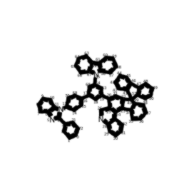 c1ccc(-c2nc3ccccc3n2-c2ccc(-c3cc(-c4cc5c(c6c4cnc4ccccc46)-c4ccccc4C54c5ccccc5-c5ccccc54)cc(-n4c5ccccc5c5ccccc54)c3)cc2)cc1